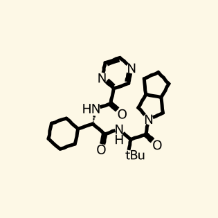 CC(C)(C)C(NC(=O)[C@@H](NC(=O)c1cnccn1)C1CCCCC1)C(=O)N1CC2CCCC2C1